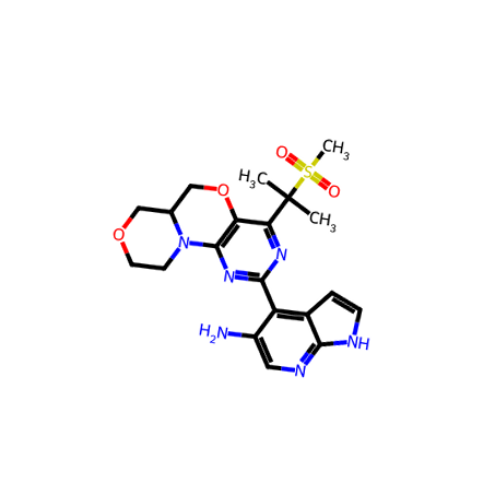 CC(C)(c1nc(-c2c(N)cnc3[nH]ccc23)nc2c1OCC1COCCN21)S(C)(=O)=O